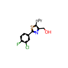 CCCc1sc(-c2ccc(F)c(Cl)c2)nc1CO